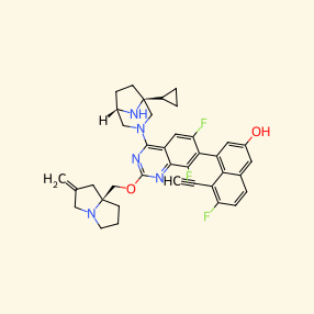 C#Cc1c(F)ccc2cc(O)cc(-c3c(F)cc4c(N5C[C@@H]6CC[C@](C7CC7)(C5)N6)nc(OC[C@@]56CCCN5CC(=C)C6)nc4c3F)c12